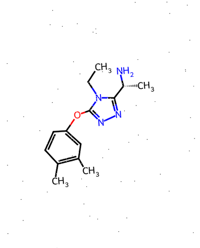 CCn1c(Oc2ccc(C)c(C)c2)nnc1[C@@H](C)N